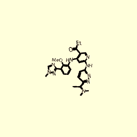 CCC(=O)c1cnc(Nc2ccc(C(C)N(C)C)nn2)cc1Nc1cccc(-c2ncn(C)n2)c1OC